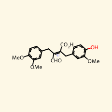 COc1cc(C/C(C(=O)O)=C(\C=O)Cc2ccc(OC)c(OC)c2)ccc1O